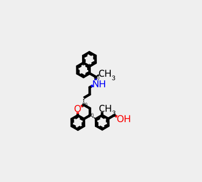 Cc1c(CO)cccc1[C@H]1C[C@@H](CCCN[C@H](C)c2cccc3ccccc23)Oc2ccccc21